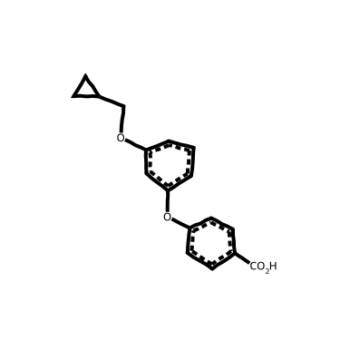 O=C(O)c1ccc(Oc2cccc(OCC3CC3)c2)cc1